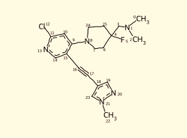 CN(C)CC1(F)CCN(c2cc(Cl)ncc2C#Cc2cnn(C)c2)CC1